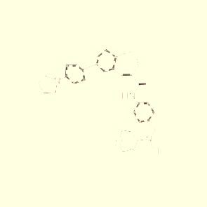 CN(Cc1ccc(NC(=O)C2=Cc3cc(-c4ccc(N5CCCC5)cc4)ccc3OCC2)cc1)C1CCOCC1